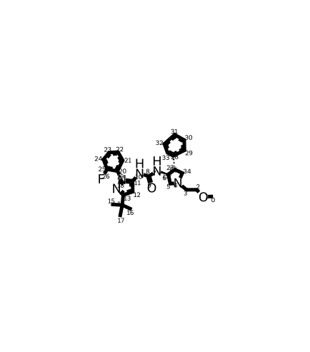 COCCN1C[C@@H](NC(=O)Nc2cc(C(C)(C)C)nn2-c2ccccc2F)[C@H](c2ccccc2)C1